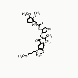 COCCCOc1cc(C(=O)N(C[C@@H]2CNC[C@H]2OC(=O)NCc2cccc(OC)c2OC)C(C)C)ccc1OC